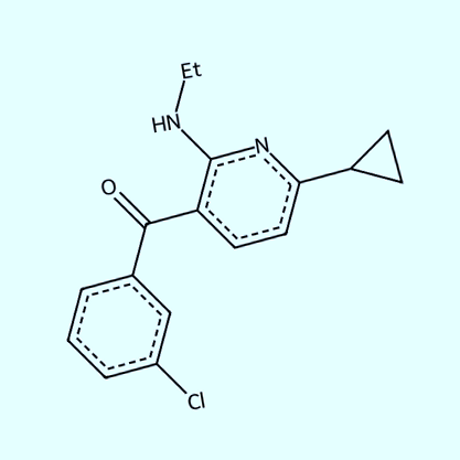 CCNc1nc(C2CC2)ccc1C(=O)c1cccc(Cl)c1